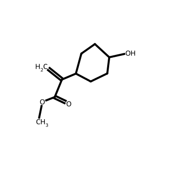 C=C(C(=O)OC)C1CCC(O)CC1